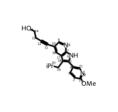 COc1ccc(-c2[nH]c3ncc(C#CCCO)cc3c2CC(C)C)cn1